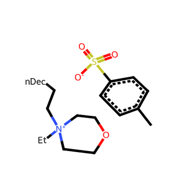 CCCCCCCCCCCC[N+]1(CC)CCOCC1.Cc1ccc(S(=O)(=O)[O-])cc1